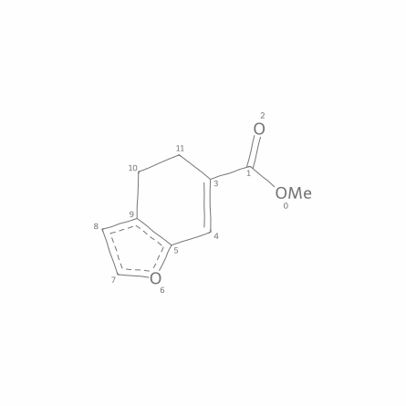 COC(=O)C1=Cc2occc2CC1